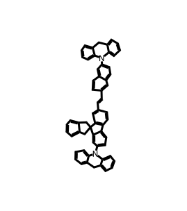 C(=C\c1ccc2cc(N3c4ccccc4Cc4ccccc43)ccc2c1)/c1ccc2c(c1)C1(Cc3ccccc3C1)c1cc(N3c4ccccc4Cc4ccccc43)ccc1-2